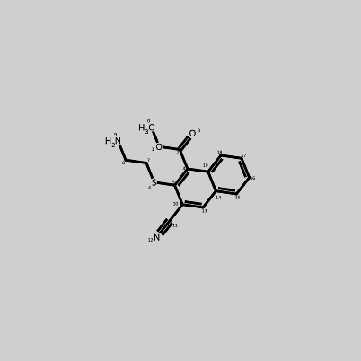 COC(=O)c1c(SCCN)c(C#N)cc2ccccc12